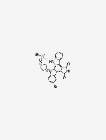 CC(C)(C)[Si](C)(C)O[C@@H]1C=C[C@H](n2c3ccc(Br)cc3c3c4c(c5c6ccccc6[nH]c5c32)C(=O)NC4=O)C1